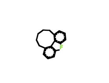 Cc1cccc2c1-c1c(F)cccc1CCCCC2